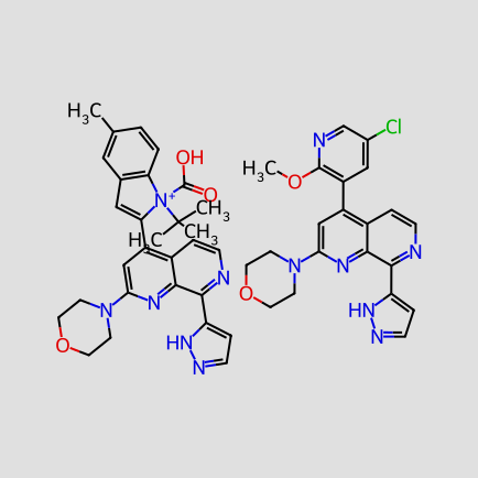 COc1ncc(Cl)cc1-c1cc(N2CCOCC2)nc2c(-c3ccn[nH]3)nccc12.Cc1ccc2c(c1)C=C(c1cc(N3CCOCC3)nc3c(-c4ccn[nH]4)nccc13)[N+]2(C(=O)O)C(C)(C)C